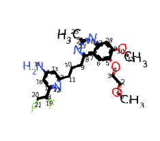 COCCOc1cc2c(CCCc3cc(N)cc(C(F)CF)n3)nc(C)nc2cc1OC